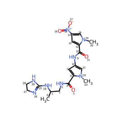 CC(CNC(=O)c1cc(NC(=O)c2cc([N+](=O)[O-])cn2C)cn1C)NC1=NCCN1